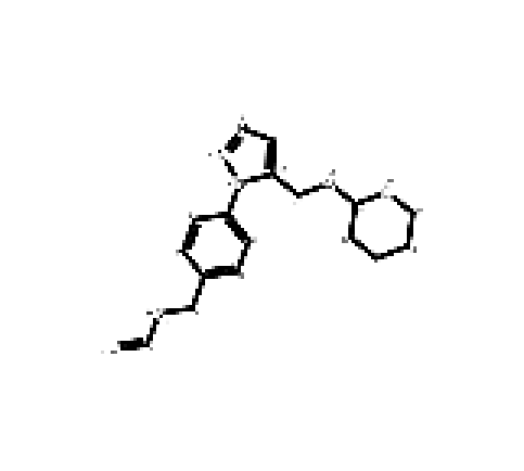 O=CNCc1ccc(-n2nncc2COC2CCCCO2)cc1